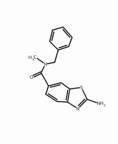 CN(Cc1ccccc1)C(=O)c1ccc2nc(N)sc2c1